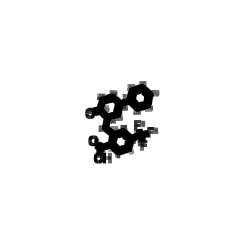 O=C(O)c1ccc(C(F)(F)F)cc1CC1C=C(c2ccccc2)C=CC1=O